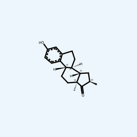 C[C@@H]1C[C@H]2[C@@H]3CCc4cc(O)ccc4[C@H]3CC[C@]2(C)C1=O